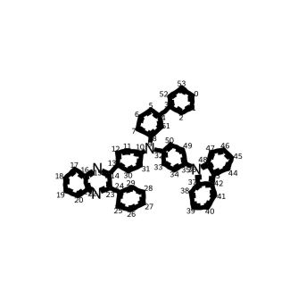 c1ccc(-c2cccc(N(c3ccc(-c4nc5ccccc5nc4-c4ccccc4)cc3)c3ccc(-n4c5ccccc5c5ccccc54)cc3)c2)cc1